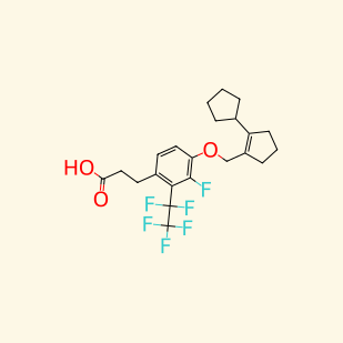 O=C(O)CCc1ccc(OCC2=C(C3CCCC3)CCC2)c(F)c1C(F)(F)C(F)(F)F